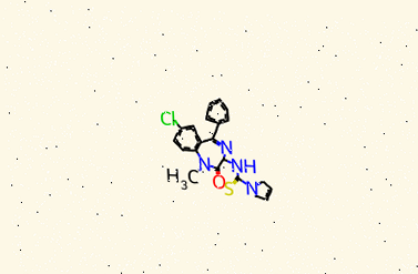 CN1C(=O)C(NC(=S)N2CC=CC2)N=C(c2ccccc2)c2cc(Cl)ccc21